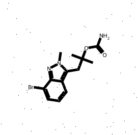 Cn1nc2c(Br)cccc2c1CC(C)(C)OC(N)=O